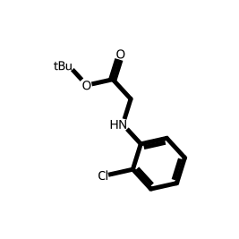 CC(C)(C)OC(=O)CNc1ccccc1Cl